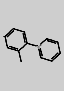 Cc1c[c]ccc1-[n+]1ccccc1